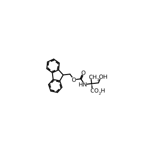 C[C@](CO)(NC(=O)OCC1c2ccccc2-c2ccccc21)C(=O)O